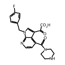 O=C(O)C(=O)c1cn(Cc2ccc(F)cc2)c2nccc(C(=O)N3CCNCC3)c12